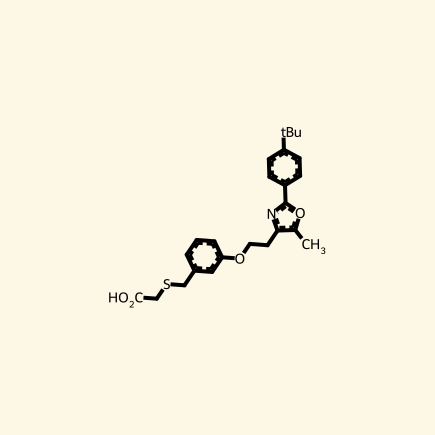 Cc1oc(-c2ccc(C(C)(C)C)cc2)nc1CCOc1cccc(CSCC(=O)O)c1